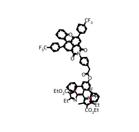 CCOC(=O)C1=C(C)/C(=C(\c2c(-c3ccccc3)cc(OC(=O)Cc3ccc(-n4c(=O)c5cc(-c6ccc(C(F)(F)F)cc6)c6oc7ccccc7c7c(-c8ccc(C(F)(F)F)cc8)cc(c4=O)c5c67)cc3)cc2-c2ccccc2)c2c(C)c(C(=O)OCC)c(CC)n2B(F)F)N=C1CC